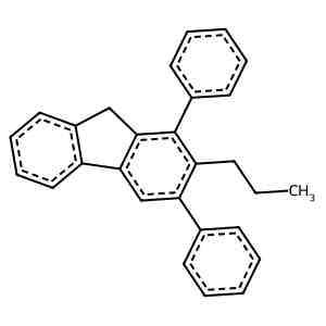 CCCc1c(-c2ccccc2)cc2c(c1-c1ccccc1)Cc1ccccc1-2